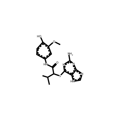 COc1cc(NC(=O)C(Sc2nc(N)nc3nc[nH]c23)C(C)C)ccc1O